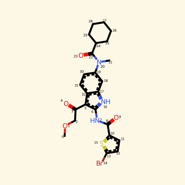 COCC(=O)c1c(NC(=O)c2ccc(Br)s2)[nH]c2cc(N(C)C(=O)C3CCCCC3)ccc12